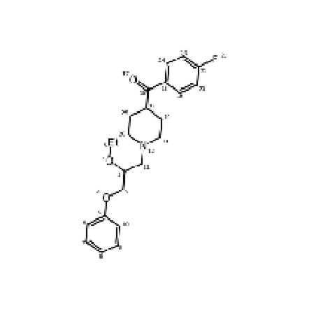 CCOC(COc1ccccc1)CN1CCC(C(=O)c2ccc(F)cc2)CC1